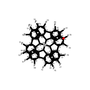 Fc1cc2c(c(F)c1F)-c1c(F)c(F)c(F)c(F)c1[CH]2[Al-]([CH]1c2cc(F)c(F)c(F)c2-c2c(F)c(F)c(F)c(F)c21)([CH]1c2cc(F)c(F)c(F)c2-c2c(F)c(F)c(F)c(F)c21)[CH]1c2cc(F)c(F)c(F)c2-c2c(F)c(F)c(F)c(F)c21